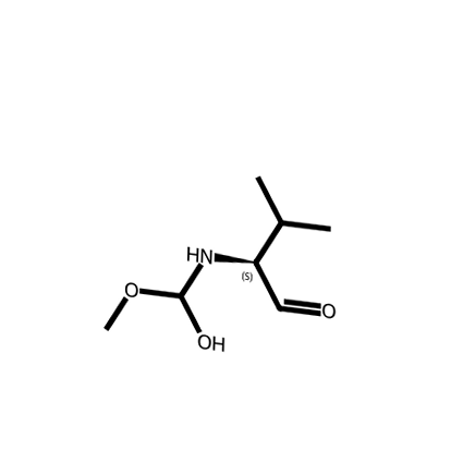 COC(O)N[C@H](C=O)C(C)C